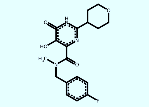 CN(Cc1ccc(F)cc1)C(=O)c1nc(C2CCOCC2)[nH]c(=O)c1O